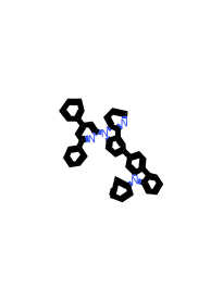 c1ccc(-c2cc(-c3ccccc3)nc(-n3c4ccc(-c5ccc6c7ccccc7n(-c7ccccc7)c6c5)cc4c4ncccc43)c2)cc1